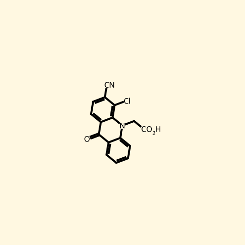 N#Cc1ccc2c(=O)c3ccccc3n(CC(=O)O)c2c1Cl